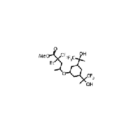 CCC(CC(C)OC1CC(C(C)(O)C(F)(F)F)CC(C(C)(O)C(F)(F)F)C1)(C(=O)OC)C(F)(F)F